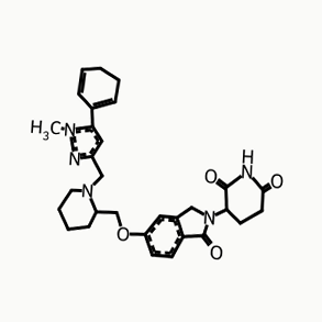 Cn1nc(CN2CCCCC2COc2ccc3c(c2)CN(C2CCC(=O)NC2=O)C3=O)cc1C1=CCCC=C1